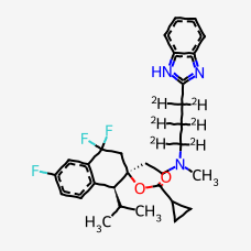 [2H]C([2H])(c1nc2ccccc2[nH]1)C([2H])([2H])C([2H])([2H])N(C)CC[C@@]1(OC(=O)C2CC2)CC(F)(F)c2cc(F)ccc2[C@@H]1C(C)C